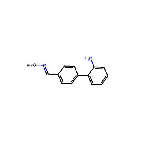 CO/N=C/c1ccc(-c2ccccc2N)cc1